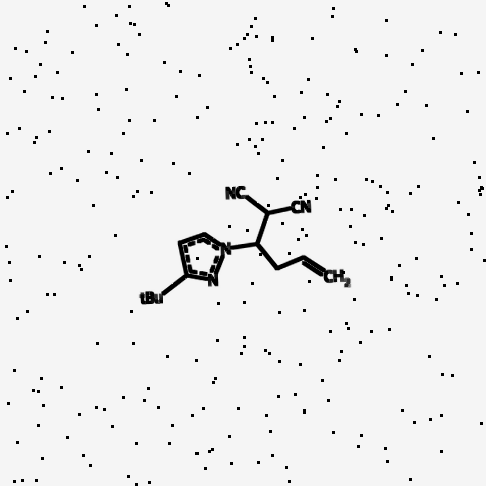 C=CCC(C(C#N)C#N)n1ccc(C(C)(C)C)n1